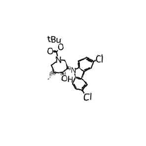 C[C@@H]1CN(C(=O)OC(C)(C)C)C[C@H](n2c3ccc(Cl)cc3c3cc(Cl)ccc32)[C@H]1O